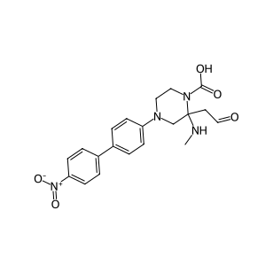 CNC1(CC=O)CN(c2ccc(-c3ccc([N+](=O)[O-])cc3)cc2)CCN1C(=O)O